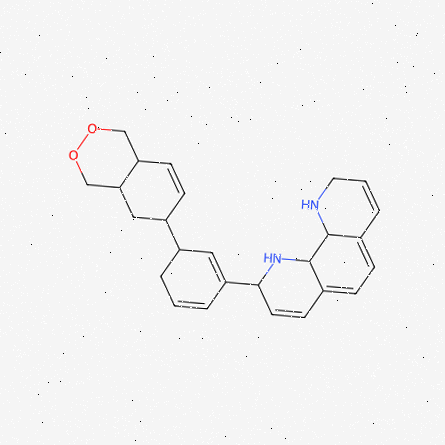 C1=CC2=CC=C3C=CC(C4=CC(C5C=CC6COOCC6C5)CC=C4)NC3C2NC1